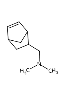 CN(C)CC1CC2C=CC1C2